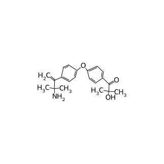 C=C(c1ccc(Oc2ccc(C(=O)C(C)(C)O)cc2)cc1)C(C)(C)N